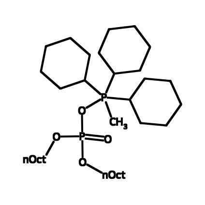 CCCCCCCCOP(=O)(OCCCCCCCC)OP(C)(C1CCCCC1)(C1CCCCC1)C1CCCCC1